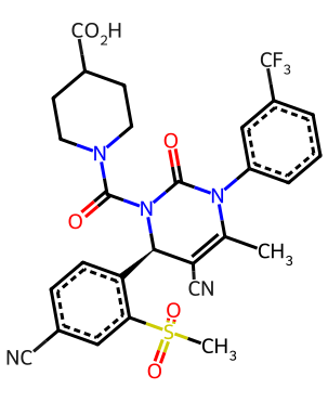 CC1=C(C#N)[C@@H](c2ccc(C#N)cc2S(C)(=O)=O)N(C(=O)N2CCC(C(=O)O)CC2)C(=O)N1c1cccc(C(F)(F)F)c1